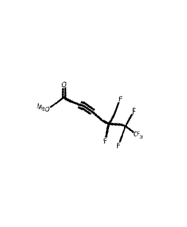 COC(=O)C#CC(F)(F)C(F)(F)C(F)(F)F